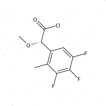 CO[C@H](C(=O)Cl)c1cc(F)c(F)c(F)c1C